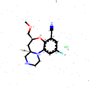 COC[C@@H]1C[C@@H]2CNCCN2c2cc(F)cc(C#N)c2O1.Cl